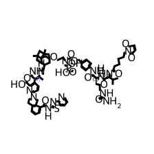 C/C(NCC12CC3(OCCN(CP(=O)(O)O)C(=O)OCc4ccc(NC(=O)[C@H](CCCNC(N)=O)NC(=O)C(NC(=O)CCCCCN5C(=O)C=CC5=O)C(C)C)cc4)CC4(C)CC(C)(C1)C4(C2)C3)=C(/C=N)c1ccc(N2CCc3cccc(C(=O)Nc4nc5ncccc5s4)c3C2)nc1C(=O)O